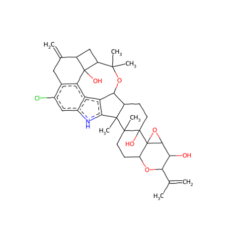 C=C(C)C1OC2CCC3(C)C4(C)c5[nH]c6cc(Cl)c7c8c6c5C(OC(C)(C)C5CC(C(=C)C7)C85O)C4CCC3(O)C23OC3C1O